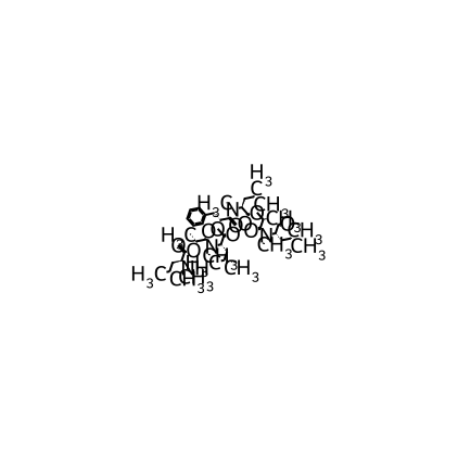 CN[C@@H](CC(C)C)C(=O)O[C@H](C)C(=O)N(C)[C@@H](CC(C)C)C(=O)O[C@H](Cc1ccccc1)C(=O)N(C)[C@@H](CC(C)C)C(=O)O[C@H](C)C(=O)N(C)[C@H](C=O)CC(C)C